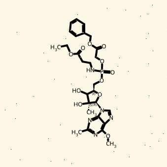 CCOC(=O)CCNP(=O)(OCC(=O)OCc1ccccc1)OC[C@H]1O[C@@H](n2cnc3c(OC)nc(C)nc32)[C@@](C)(O)C1O